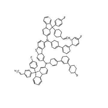 C=Cc1ccc(C2(c3ccc(F)cc3)C3C=CC=CC3C3C=CC(N(C4=CC5c6cc(N(C7=CC8C(C=C7)c7ccccc7C8(C7=CCC(C=C)CC7)c7ccc(F)cc7)C7=CC=C(C8=CCCC(C9C=CC(F)=CC9)=C8)CC7)ccc6SC5C=C4)C4C=CC(C5=CC(C6=CCC(F)CC6)=CCC5)=CC4)=CC32)cc1